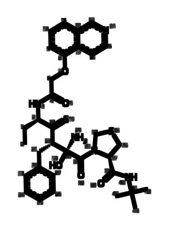 CC[C@@H](NC(=O)COc1cccc2cnccc12)C(=S)[C@@H](Cc1ccccc1)[C@](N)(O)C(=O)N1CSC[C@H]1C(=O)NC(C)(C)C